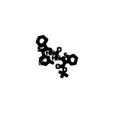 Cc1cncc(-c2sc3c(c2CNC(=O)Nc2sc4c(c2C(=O)OC(C)(C)C)CCCC4)CCCC3)c1